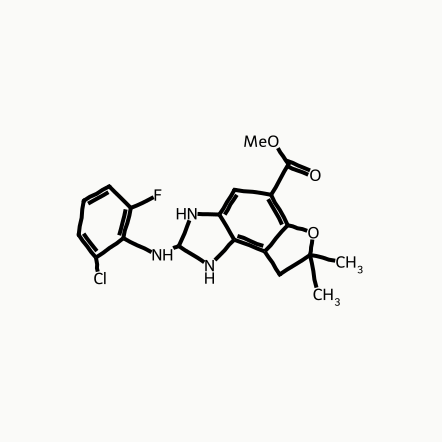 COC(=O)c1cc2c(c3c1OC(C)(C)C3)NC(Nc1c(F)cccc1Cl)N2